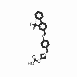 O=C(O)OC1CN(Cc2ccc(SCc3ccc(-c4ccccc4)c(C(F)(F)F)c3)cc2)C1